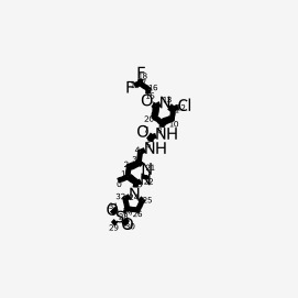 Cc1cc(CNC(=O)Nc2cc(Cl)nc(OCC(F)F)c2)nnc1N1CC[C@@H](S(C)(=O)=O)C1